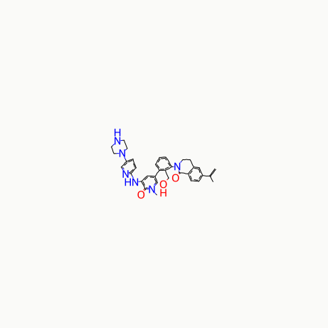 C=C(C)c1ccc2c(c1)CCN(c1cccc(-c3cc(Nc4ccc(N5CCNCC5)cn4)c(=O)n(C)c3)c1CO)C2=O